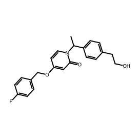 CC(c1ccc(CCO)cc1)n1ccc(OCc2ccc(F)cc2)cc1=O